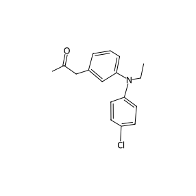 CCN(c1ccc(Cl)cc1)c1cccc(CC(C)=O)c1